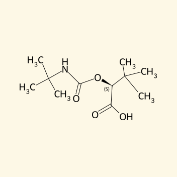 CC(C)(C)NC(=O)O[C@H](C(=O)O)C(C)(C)C